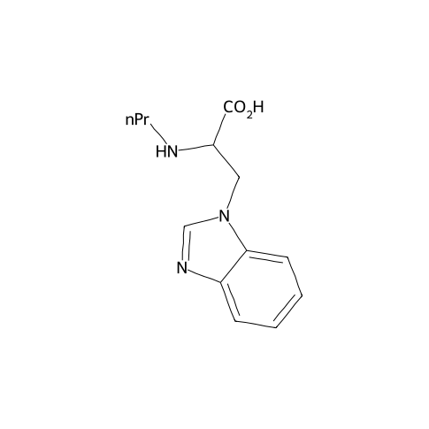 CCCNC(Cn1cnc2ccccc21)C(=O)O